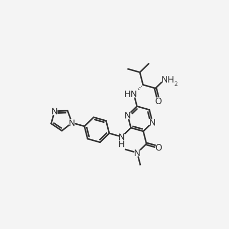 CC(C)[C@@H](Nc1cnc(C(=O)N(C)C)c(Nc2ccc(-n3ccnc3)cc2)n1)C(N)=O